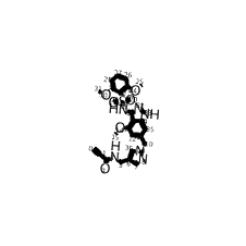 C#CC(=O)NCc1cnn(Cc2cc(OC)c3c(NS(=O)(=O)c4c(OC)cccc4OC)n[nH]c3c2)c1